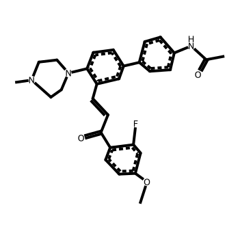 COc1ccc(C(=O)C=Cc2cc(-c3ccc(NC(C)=O)cc3)ccc2N2CCN(C)CC2)c(F)c1